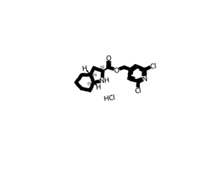 Cl.O=C(OCc1cc(Cl)nc(Cl)c1)[C@@H]1C[C@@H]2CCCC[C@@H]2N1